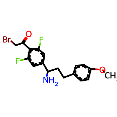 COc1ccc(CCC(N)c2cc(F)c(C(=O)CBr)c(F)c2)cc1